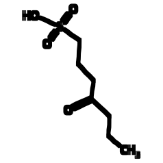 CCCC(=O)CCCS(=O)(=O)O